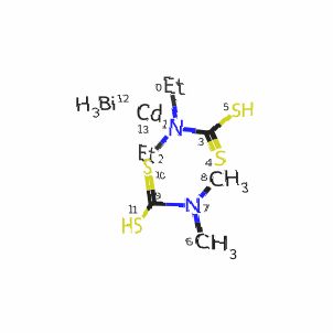 CCN(CC)C(=S)S.CN(C)C(=S)S.[BiH3].[Cd]